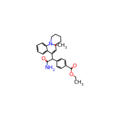 CC/C=C(\c1ccccc1N1CCCCC1)C(C(N)=O)c1ccc(C(=O)OCC)cc1